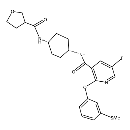 CSc1cccc(Oc2ncc(F)cc2C(=O)N[C@H]2CC[C@@H](NC(=O)C3CCOC3)CC2)c1